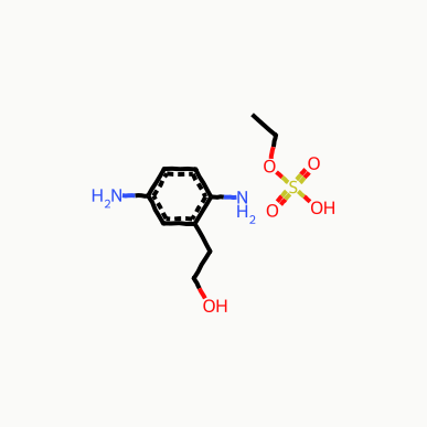 CCOS(=O)(=O)O.Nc1ccc(N)c(CCO)c1